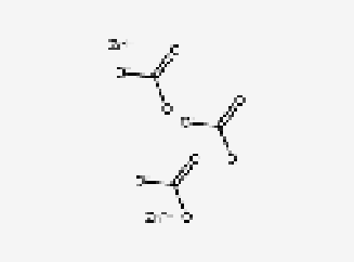 O=C([O-])[O-].O=C([O-])[O-].O=C([O-])[O-].[Zn+2].[Zr+4]